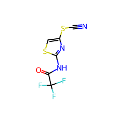 N#CSc1csc(NC(=O)C(F)(F)F)n1